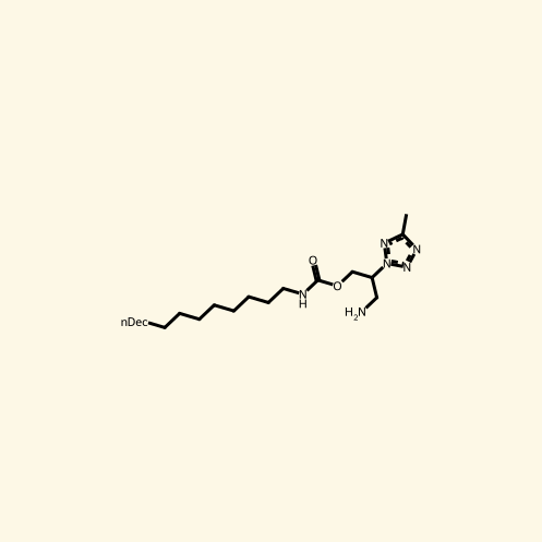 CCCCCCCCCCCCCCCCCCNC(=O)OCC(CN)n1nnc(C)n1